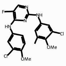 COc1ccc(Nc2nc(Nc3cc(C)c(OC)c(Cl)c3)ncc2F)cc1Cl